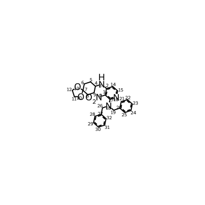 O=[N+]([O-])c1c(NC2CCC3(CC2)OCCO3)ccnc1N(Cc1ccccc1)Cc1ccccc1